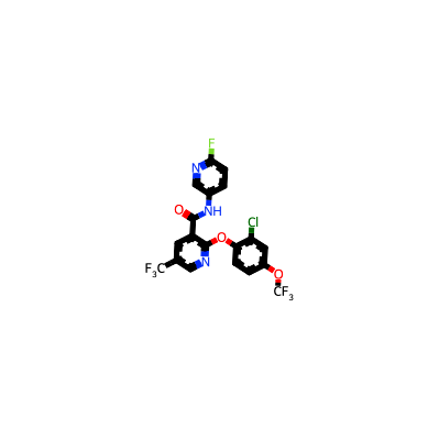 O=C(Nc1ccc(F)nc1)c1cc(C(F)(F)F)cnc1Oc1ccc(OC(F)(F)F)cc1Cl